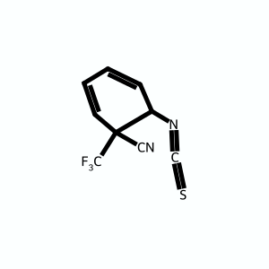 N#CC1(C(F)(F)F)C=CC=CC1N=C=S